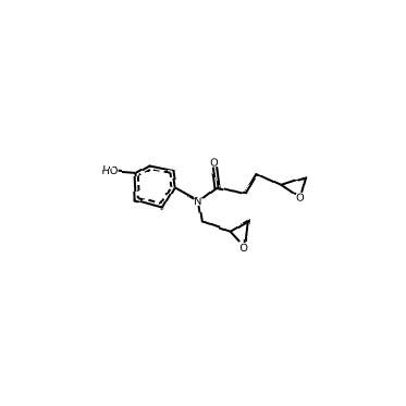 O=C(CCC1CO1)N(CC1CO1)c1ccc(O)cc1